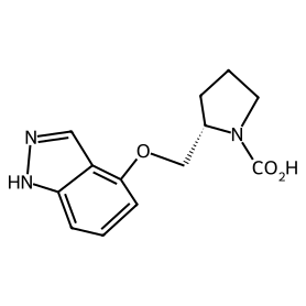 O=C(O)N1CCC[C@H]1COc1cccc2[nH]ncc12